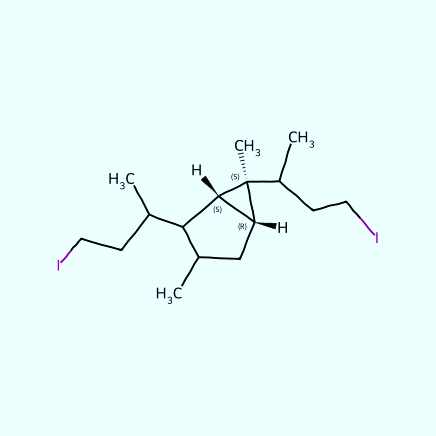 CC(CCI)C1C(C)C[C@@H]2[C@H]1[C@@]2(C)C(C)CCI